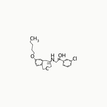 CCCCCOc1ccc2c(c1)C[C@@H](NC[C@H](O)c1cccc(Cl)c1)CCC2